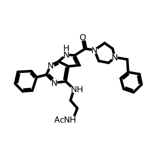 CC(=O)NCCNc1nc(-c2ccccc2)nc2[nH]c(C(=O)N3CCN(Cc4ccccc4)CC3)cc12